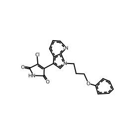 O=C1NC(=O)C(c2cn(CCCOc3ccccc3)c3ncccc23)=C1Cl